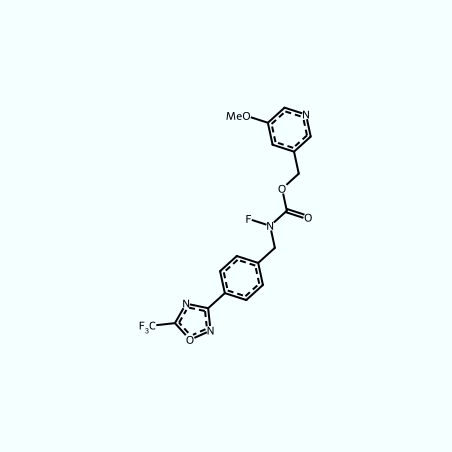 COc1cncc(COC(=O)N(F)Cc2ccc(-c3noc(C(F)(F)F)n3)cc2)c1